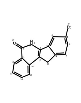 CCc1ccc2c(c1)-c1[nH]c(=O)c3ccccc3c1C2